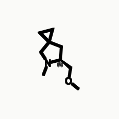 COC[C@@H]1CC2(CC2)CN1C